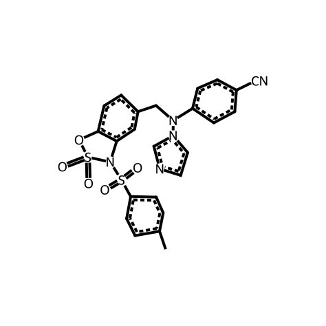 Cc1ccc(S(=O)(=O)N2c3cc(CN(c4ccc(C#N)cc4)n4ccnc4)ccc3OS2(=O)=O)cc1